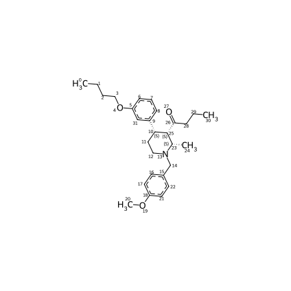 CCCCOc1cccc([C@H]2CCN(Cc3ccc(OC)cc3)[C@@H](C)[C@H]2C(=O)CCC)c1